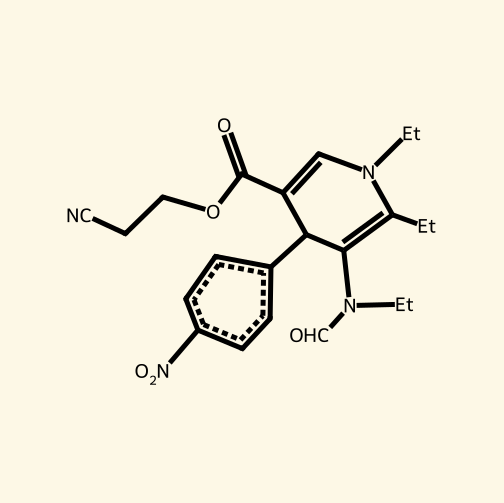 CCC1=C(N(C=O)CC)C(c2ccc([N+](=O)[O-])cc2)C(C(=O)OCCC#N)=CN1CC